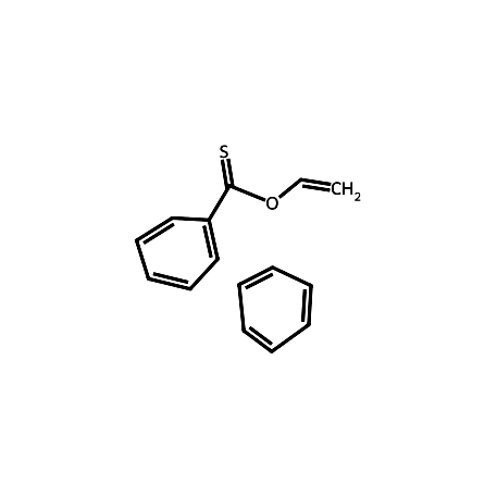 C=COC(=S)c1ccccc1.c1ccccc1